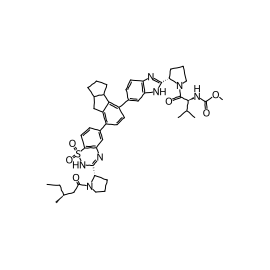 CC[C@H](C)CC(=O)N1CCC[C@H]1C1=Nc2cc(-c3ccc(-c4ccc5nc([C@@H]6CCCN6C(=O)[C@@H](NC(=O)OC)C(C)C)[nH]c5c4)c4c3CC3CCCC43)ccc2S(=O)(=O)N1